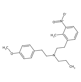 CCCN(CCc1ccc(OC)cc1)CCc1cccc([N+](=O)[O-])c1C